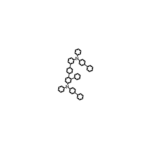 c1ccc(-c2ccc(N(c3ccccc3)c3cccc(-c4ccc(-c5ccc(N(c6ccccc6)c6ccc(-c7ccccc7)cc6)cc5-c5ccccc5)cc4)c3)cc2)cc1